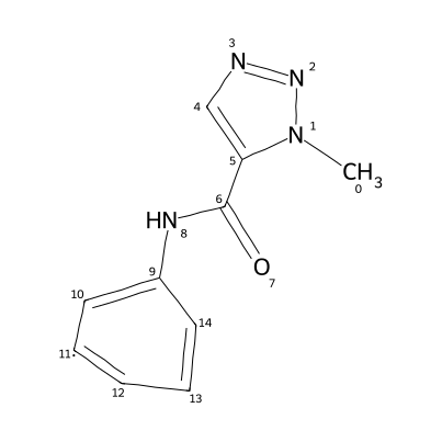 Cn1nncc1C(=O)Nc1c[c]ccc1